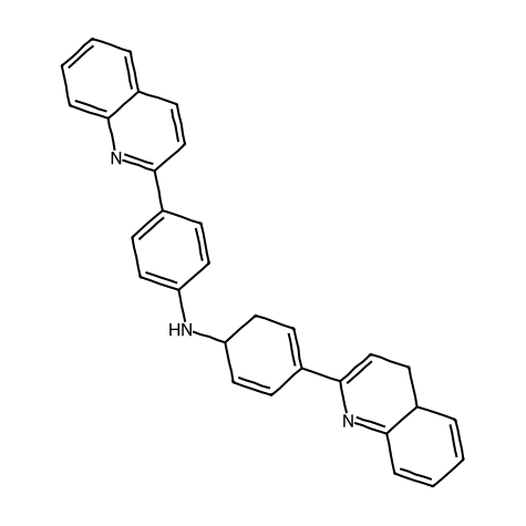 C1=CC2=NC(C3=CCC(Nc4ccc(-c5ccc6ccccc6n5)cc4)C=C3)=CCC2C=C1